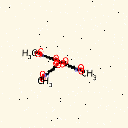 CCOC(=O)/C=C/CCCCCCCC(=O)OCC(COC(=O)CCCCCCC/C=C/C(=O)OCC)OC(=O)CCCCCCC/C=C/C(=O)OCC